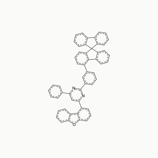 c1ccc(-c2cc(-c3cccc4oc5ccccc5c34)nc(-c3cccc(-c4cccc5c4-c4ccccc4C54c5ccccc5-c5ccccc54)c3)n2)cc1